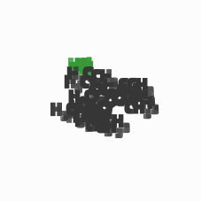 Cl.Cl.[CH2]=[Zr]([C]1=CC(C(C)(C)C)=CC1CCCC)([c]1ccc(C)cc1)([c]1ccc(C)cc1)[c]1c2c(cc(C(C)(C)C)c1C(C)(C)C)-c1cc(C(C)(C)C)c(C(C)(C)C)cc1C2